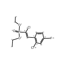 CCOP(=O)(OCC)C(Cl)=Cc1ccc(F)cc1Cl